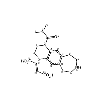 CN(C)C(=O)N1CCCc2cc3c(cc21)CCNCC3.O=C(O)C=CC(=O)O